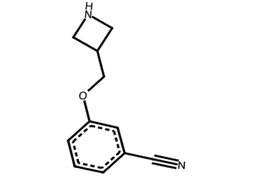 N#Cc1cccc(OCC2CNC2)c1